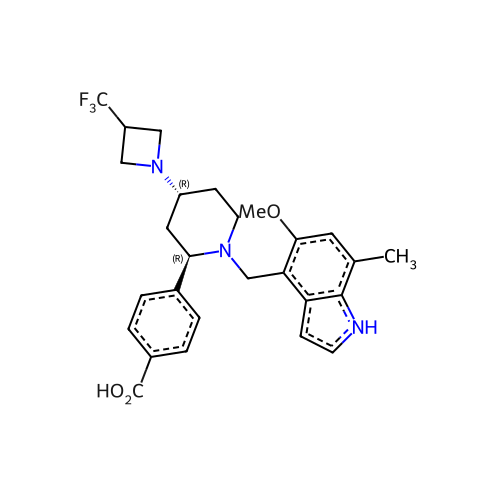 COc1cc(C)c2[nH]ccc2c1CN1CC[C@@H](N2CC(C(F)(F)F)C2)C[C@@H]1c1ccc(C(=O)O)cc1